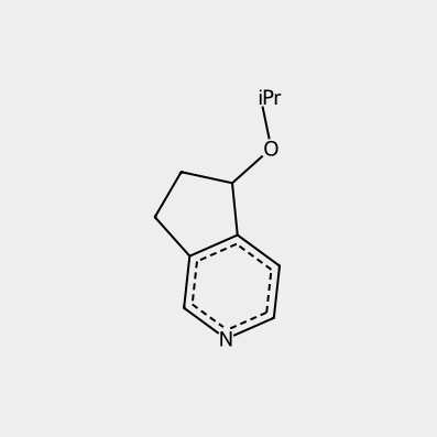 CC(C)OC1CCc2cnccc21